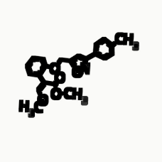 COC=C(C(=O)OC)c1ccccc1OCc1cc(-c2ccc(C)cc2)no1